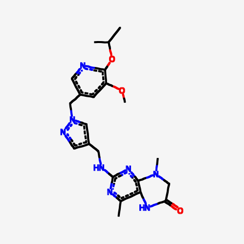 COc1cc(Cn2cc(CNc3nc(C)c4c(n3)N(C)CC(=O)N4)cn2)cnc1OC(C)C